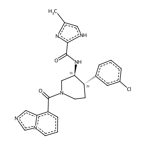 Cc1c[nH]c(C(=O)N[C@@H]2CN(C(=O)c3cccn4cncc34)CC[C@H]2c2cccc(Cl)c2)n1